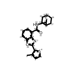 Cc1ccsc1-c1nc2c(C(=O)NC3CN4CCC3CC4)cccc2o1